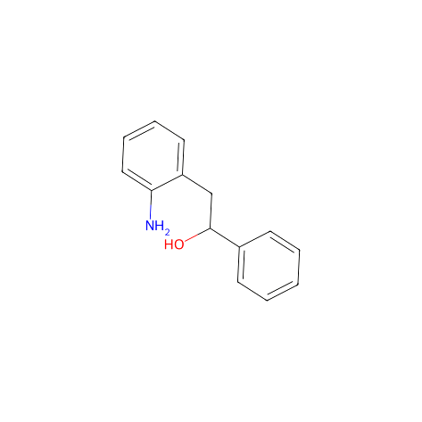 Nc1ccccc1CC(O)c1ccccc1